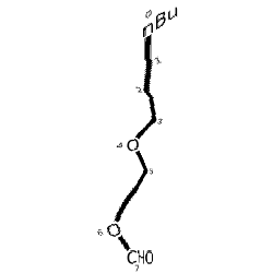 CCCCCCCOCOC=O